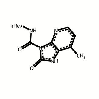 CCCCCCNC(=O)n1c(=O)[nH]c2c(C)ccnc21